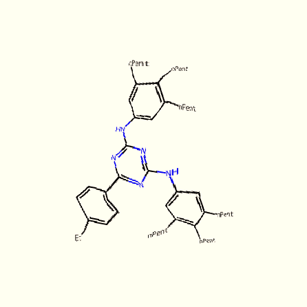 [CH2]Cc1ccc(-c2nc(Nc3cc(CCCCC)c(CCCCC)c(CCCCC)c3)nc(Nc3cc(CCCCC)c(CCCCC)c(CCCCC)c3)n2)cc1